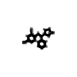 Clc1cnc(OC(c2ccccc2)[C@H]2CCNC2)c(Cl)c1